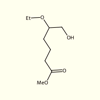 CCOC(CO)CCCC(=O)OC